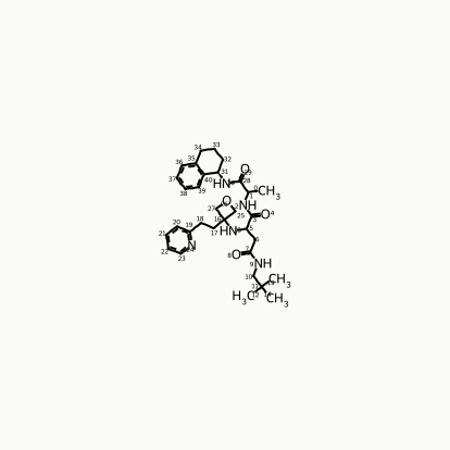 CC(NC(=O)C(CC(=O)NCC(C)(C)C)NC1(CCc2ccccn2)COC1)C(=O)N[C@@H]1CCCc2ccccc21